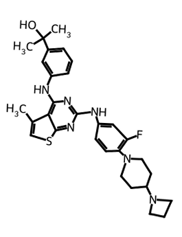 Cc1csc2nc(Nc3ccc(N4CCC(N5CCC5)CC4)c(F)c3)nc(Nc3cccc(C(C)(C)O)c3)c12